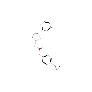 O=C(Cc1ccc(C2CC2)cc1)NC1CCN(c2cc(C(F)(F)F)ccn2)C1